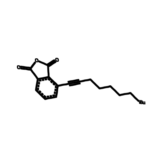 CCC(C)CCCCCC#Cc1cccc2c1C(=O)OC2=O